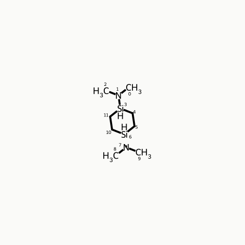 CN(C)[SiH]1CC[SiH](N(C)C)CC1